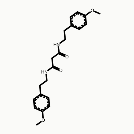 COc1ccc(CCNC(=O)CC(=O)NCCc2ccc(OC)cc2)cc1